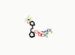 CO[C@@H](CCCN(C)C(F)(F)F)Oc1ccccc1CCc1cccc(OC(F)(F)F)c1